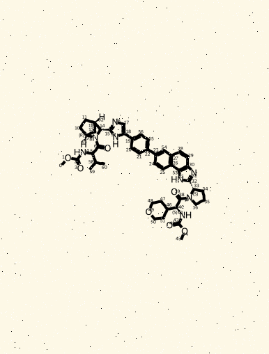 COC(=O)NC(C(=O)N1[C@@H]2CC[C@@H](C2)[C@H]1c1ncc(-c2ccc(-c3ccc4c(ccc5nc([C@@H]6CCCN6C(=O)[C@@H](NC(=O)OC)C6CCOCC6)[nH]c54)c3)cc2)[nH]1)C(C)C